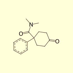 CN(C)C(=O)C1(c2ccccc2)CCC(=O)CC1